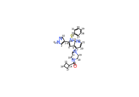 Cn1cc(-c2cc3c(N4CCN(C(=O)C5CCC5)CC4)ccnc3n2Sc2ccccc2)cn1